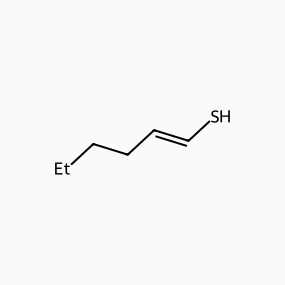 CCCC/C=C/S